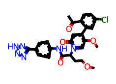 COCCC(C(=O)Nc1ccc(-c2nn[nH]n2)cc1)n1cc(OC)c(-c2cc(Cl)ccc2C(C)=O)cc1=O